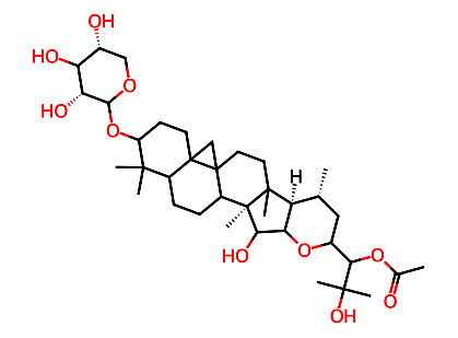 CC(=O)OC(C1C[C@@H](C)[C@H]2C(O1)C(O)[C@@]1(C)C3CCC4C(C)(C)C(OC5OC[C@@H](O)C(O)[C@H]5O)CCC45CC35CCC21C)C(C)(C)O